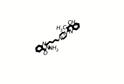 Cc1c(N2CCN(CCCCc3nc4ccccc4c(=O)n3N)CC2)nc2ccccc2c1C